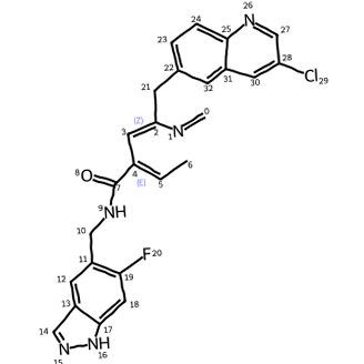 C=N/C(=C\C(=C/C)C(=O)NCc1cc2cn[nH]c2cc1F)Cc1ccc2ncc(Cl)cc2c1